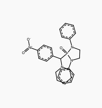 O=[N+]([O-])c1ccc(C(N2CCSCC2)P2(=O)N(c3ccccc3)CCN2c2ccccc2)cc1